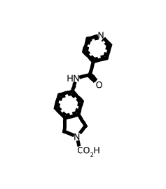 O=C(Nc1ccc2c(c1)CN(C(=O)O)C2)c1ccncc1